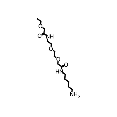 CCOCC(=O)NCCOCCOCC(=O)NCCCCCN